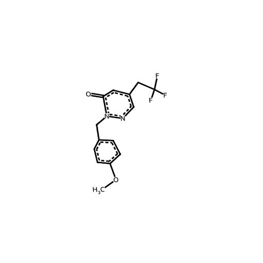 COc1ccc(Cn2ncc(CC(F)(F)F)cc2=O)cc1